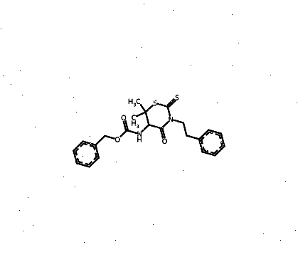 CC1(C)SC(=S)N(CCc2ccccc2)C(=O)C1NC(=O)OCc1ccccc1